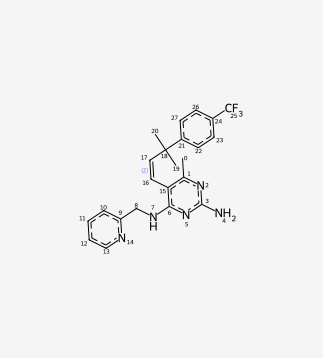 Cc1nc(N)nc(NCc2ccccn2)c1/C=C\C(C)(C)c1ccc(C(F)(F)F)cc1